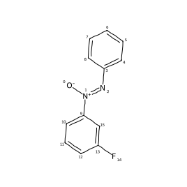 [O-][N+](=Nc1ccccc1)c1cccc(F)c1